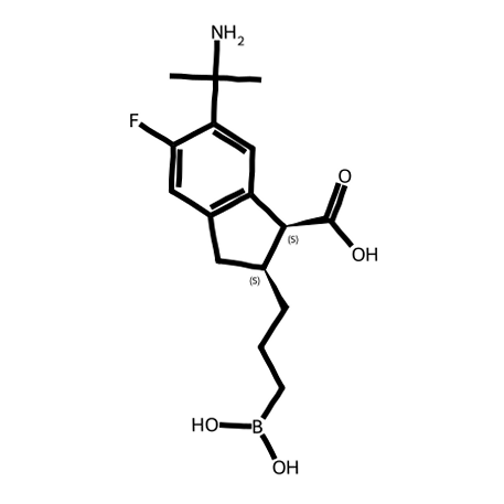 CC(C)(N)c1cc2c(cc1F)C[C@H](CCCB(O)O)[C@@H]2C(=O)O